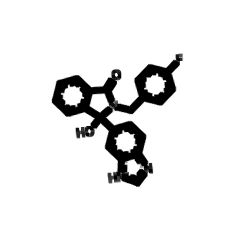 O=C1c2ccccc2C(O)(c2ccc3n[c][nH]c3c2)N1Cc1ccc(F)cc1